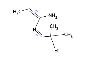 C/C=C(N)\N=C/C(C)(C)CC